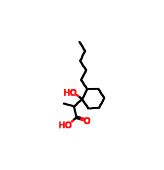 CCCCCC1CCCCC1(O)C(C)C(=O)O